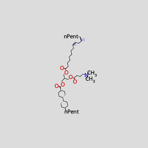 CCCCC/C=C\C/C=C\CCCCCCCC(=O)OCC(COC(=O)CCCN(C)C)COC(=O)[C@H]1CC[C@H]([C@H]2CC[C@H](CCCCC)CC2)CC1